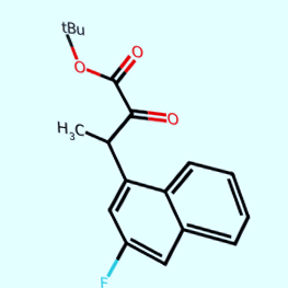 CC(C(=O)C(=O)OC(C)(C)C)c1cc(F)cc2ccccc12